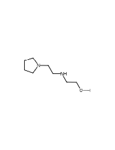 IOCCNCCN1CCCC1